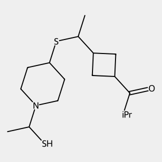 CC(C)C(=O)C1CC(C(C)SC2CCN(C(C)S)CC2)C1